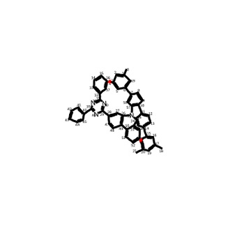 Cc1cc(C)cc(-c2ccc3c4ccc(-c5cc(C)cc(C)c5)cc4n(-c4cc(-c5nc(-c6ccccc6)nc(-c6ccccc6)n5)ccc4-c4ccccc4F)c3c2)c1